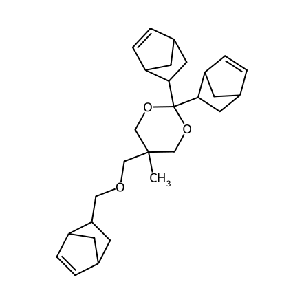 CC1(COCC2CC3C=CC2C3)COC(C2CC3C=CC2C3)(C2CC3C=CC2C3)OC1